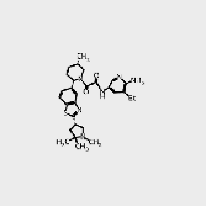 CCc1cc(NC(=O)C(=O)N2C[C@@H](C)CC[C@@H]2c2ccc3sc([C@@H]4CN(C)C(C)(C)C4)nc3c2)cnc1N